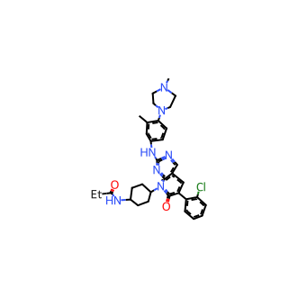 CCC(=O)NC1CCC(n2c(=O)c(-c3ccccc3Cl)cc3cnc(Nc4ccc(N5CCN(C)CC5)c(C)c4)nc32)CC1